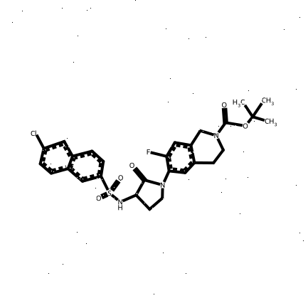 CC(C)(C)OC(=O)N1CCc2cc(N3CCC(NS(=O)(=O)c4ccc5cc(Cl)ccc5c4)C3=O)c(F)cc2C1